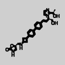 C[C@H](O)c1nccn1[C@@H](/C=C/c1ccc(-c2ccc(C3CC(NC[C@@H]4CNC(=O)O4)C3)cc2)cc1)CO